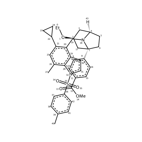 CCO[C@H]1C[C@H]2CC[C@@](c3ccc(C(=O)OC)cc3)(C1)N2Cc1c(C2CC2)cc(C)c2c1ccn2S(=O)(=O)c1ccc(C)cc1